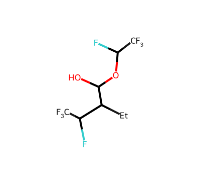 CCC(C(O)OC(F)C(F)(F)F)C(F)C(F)(F)F